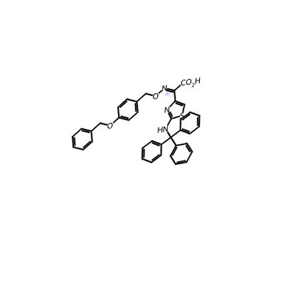 O=C(O)/C(=N/OCc1ccc(OCc2ccccc2)cc1)c1csc(NC(c2ccccc2)(c2ccccc2)c2ccccc2)n1